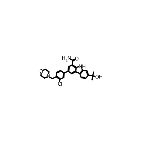 CC(C)(O)c1ccc2c(c1)[nH]c1c(C(N)=O)cc(-c3ccc(CN4CCOCC4)c(Cl)c3)cc12